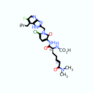 CC(C)Cc1c(F)cnc2nc(Cn3c(Cl)ccc(NC(=O)[C@H](CC/C=C/C(=O)N(C)C)NC(=O)O)c3=O)[nH]c12